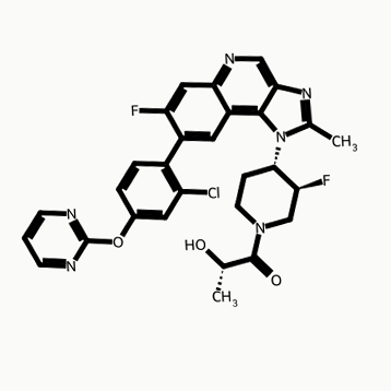 Cc1nc2cnc3cc(F)c(-c4ccc(Oc5ncccn5)cc4Cl)cc3c2n1[C@H]1CCN(C(=O)[C@H](C)O)C[C@@H]1F